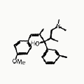 COc1ccc(C=C(C)C(O)(c2cccc(C)c2)C(C)CN(C)C)cc1